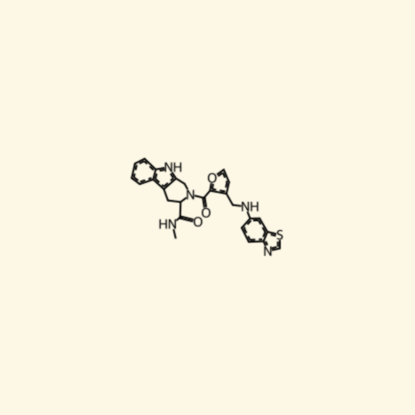 CNC(=O)C1Cc2c([nH]c3ccccc23)CN1C(=O)c1occc1CNc1ccc2ncsc2c1